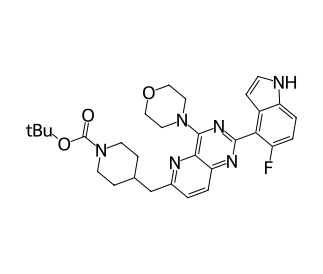 CC(C)(C)OC(=O)N1CCC(Cc2ccc3nc(-c4c(F)ccc5[nH]ccc45)nc(N4CCOCC4)c3n2)CC1